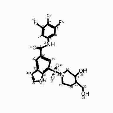 O=C(Nc1cc(F)c(F)c(F)c1)c1cc(S(=O)(=O)N2CCC(CO)C(O)C2)c2[nH]cnc2c1